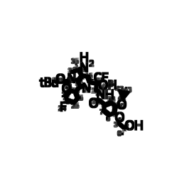 C[C@@H](O)COc1ccc(C(=O)NCC(O)(c2cc3c(c(-c4ccc(F)cc4)n2)N(C(=O)OC(C)(C)C)C[C@@]3(C)N)C(F)(F)F)cc1OC1CC1